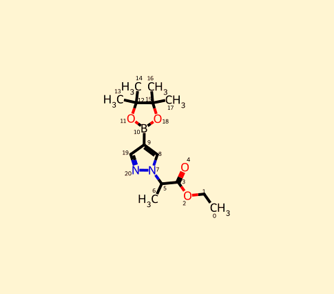 CCOC(=O)C(C)n1cc(B2OC(C)(C)C(C)(C)O2)cn1